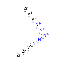 [N-3].[N-3].[N-3].[N-3].[N-3].[V+5].[V+5].[V+5].[Zr].[Zr].[Zr]